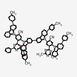 Cc1ccc(-c2ccc3c(c2)c2ccccc2n3-c2cc(-c3nc(-c4ccccc4)nc(-c4ccccc4)n3)c(-n3c4ccc(-c5ccc(C)cc5)cc4c4cc(-c5ccc6c(c5)c5ccc(-c7ccc(C)cc7)cc5n6-c5cc(-c6nc(C)nc(C)n6)c(-n6c7ccccc7c7ccc(-c8ccc(C)cc8)cc76)cc5C#N)ccc43)cc2C#N)cc1